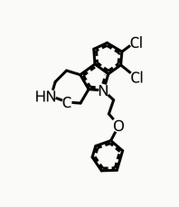 Clc1ccc2c3c(n(CCOc4ccccc4)c2c1Cl)CCNCC3